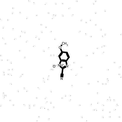 COc1ccc2c(c1)[NH+]([O-])C(C#N)=N2